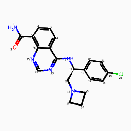 NC(=O)c1cccc2c(N[C@H](CN3CCC3)c3ccc(Cl)cc3)ncnc12